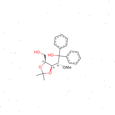 CO[C@H]([C@H]1OC(C)(C)O[C@H]1CO)C(O)(c1ccccc1)c1ccccc1